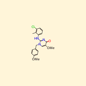 COc1ccc(Cn2cc(OC)c(=O)nc2Nc2cccc(Cl)c2C)cc1